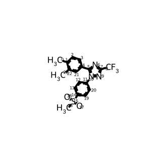 Cc1ccc(-c2nc(C(F)(F)F)nn2-c2ccc(S(C)(=O)=O)cc2)cc1C